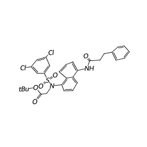 CC(C)(C)OC(=O)CN(c1cccc2c(NC(=O)CCc3ccccc3)cccc12)S(=O)(=O)c1cc(Cl)cc(Cl)c1